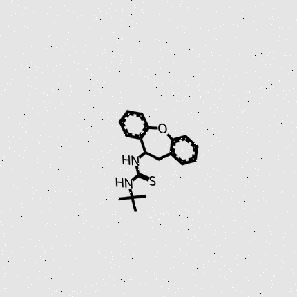 CC(C)(C)NC(=S)NC1Cc2ccccc2Oc2ccccc21